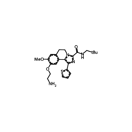 COc1cc2c(cc1OCCN)-c1c(-c3cccs3)nc(C(=O)NCC(C)(C)C)n1CC2